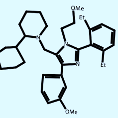 CCc1cccc(CC)c1-c1nc(-c2cccc(OC)c2)c(CN2CCCCC2C2CCCCC2)n1CCOC